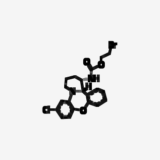 O=C(N[C@H]1CCCN2c3cc(Cl)ccc3Oc3ccccc3[C@@H]12)OCCBr